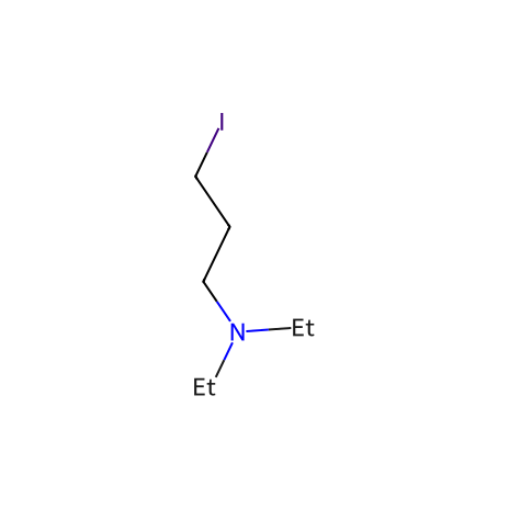 CCN(CC)CCCI